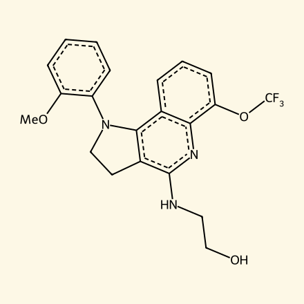 COc1ccccc1N1CCc2c(NCCO)nc3c(OC(F)(F)F)cccc3c21